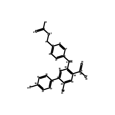 CC(=O)OCc1ccc(Nc2nc(-c3ccc(F)cc3)c(Br)cc2[N+](=O)[O-])cc1